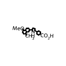 COc1ccc(C)c2cc(-c3ccc(-c4ccc(C(=O)O)cc4)[nH]3)ccc12